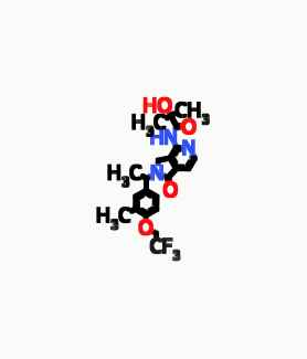 Cc1cc(C(C)N2Cc3c(ccnc3NC(=O)C(C)(C)O)C2=O)ccc1OCC(F)(F)F